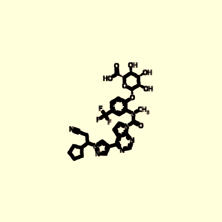 CN(C(=O)n1ccc2c(-c3cnn(C(CC#N)C4CCCC4)c3)ncnc21)c1cc(C(F)(F)F)ccc1O[C@@H]1O[C@H](C(=O)O)[C@@H](O)[C@H](O)[C@H]1O